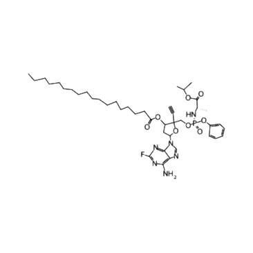 C#CC1(CO[P@@](=O)(N[C@@H](C)C(=O)OC(C)C)Oc2ccccc2)OC(n2cnc3c(N)nc(F)nc32)CC1OC(=O)CCCCCCCCCCCCCCCCC